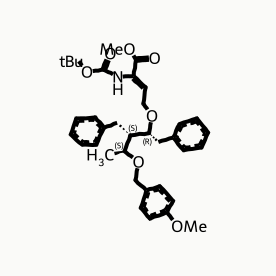 COC(=O)C(=CCO[C@H](Cc1ccccc1)[C@@H](Cc1ccccc1)[C@H](C)OCc1ccc(OC)cc1)NC(=O)OC(C)(C)C